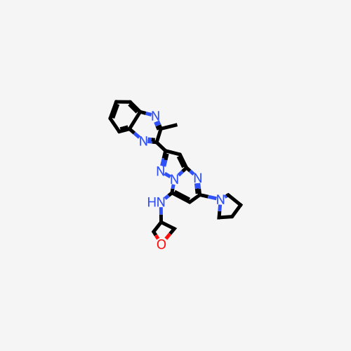 Cc1nc2ccccc2nc1-c1cc2nc(N3CCCC3)cc(NC3COC3)n2n1